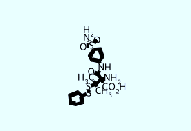 CC(C)(SSc1ccccc1)C(N)(C(=O)O)C(=O)Nc1ccc(S(N)(=O)=O)cc1